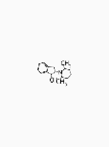 CC1CCCC(C)N1[C@H]1Cc2ccccc2[C@@H]1O